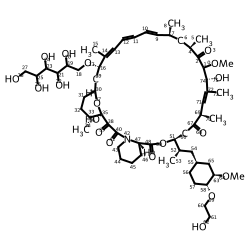 COC1C(=O)[C@H](C)C[C@H](C)/C=C/C=C/C=C(\C)[C@@H](OCC(O)C(O)C(O)C(O)CO)C[C@@H]2CC[C@@H](C)[C@@](O)(O2)C(=O)C(=O)N2CCCC[C@H]2C(=O)O[C@H]([C@H](C)C[C@@H]2CC[C@@H](OCCO)[C@H](OC)C2)CC(=O)[C@H](C)/C=C(\C)[C@H]1O